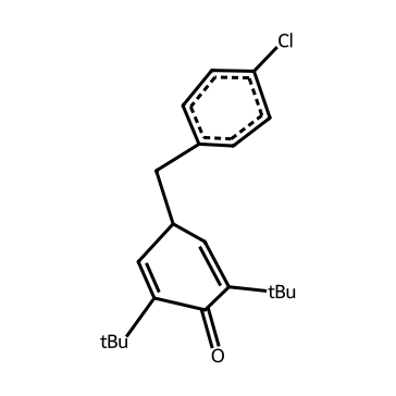 CC(C)(C)C1=CC(Cc2ccc(Cl)cc2)C=C(C(C)(C)C)C1=O